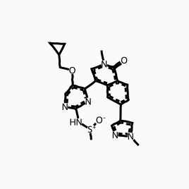 Cn1cc(-c2ccc3c(=O)n(C)cc(-c4nc(N[S+](C)[O-])ncc4OCC4CC4)c3c2)cn1